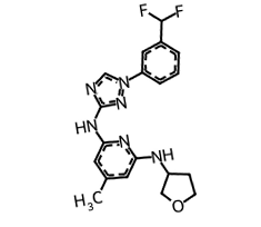 Cc1cc(Nc2ncn(-c3cccc(C(F)F)c3)n2)nc(NC2CCOC2)c1